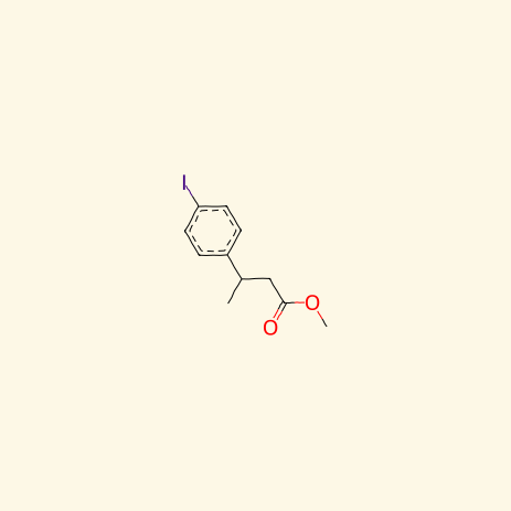 COC(=O)CC(C)c1ccc(I)cc1